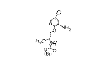 CC(COc1ncc(Cl)cc1N)NC(=O)OC(C)(C)C